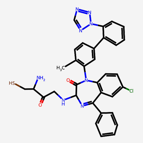 Cc1ccc(-c2ccccc2-n2ncnn2)cc1N1C(=O)C(NCC(=O)C(N)CS)N=C(c2ccccc2)c2cc(Cl)ccc21